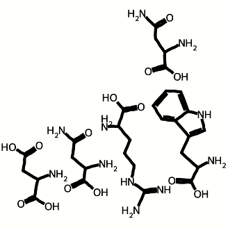 N=C(N)NCCCC(N)C(=O)O.NC(=O)CC(N)C(=O)O.NC(=O)CC(N)C(=O)O.NC(CC(=O)O)C(=O)O.NC(Cc1c[nH]c2ccccc12)C(=O)O